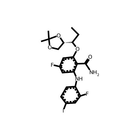 CCC(Oc1cc(F)cc(Nc2ccc(I)cc2F)c1C(N)=O)[C@@H]1COC(C)(C)O1